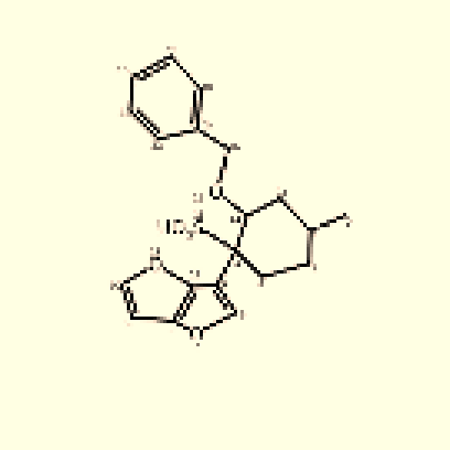 CC1CCC(c2coc3ccoc23)(S(=O)(=O)O)C(OCc2ccccc2)C1